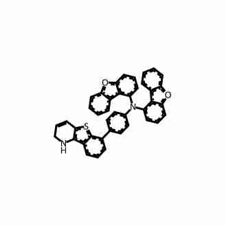 C1=Cc2sc3c(-c4ccc(N(c5cccc6oc7ccccc7c56)c5cccc6oc7ccccc7c56)cc4)cccc3c2NC1